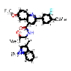 COC(=O)[C@@H](Cc1cn(C(C)C)c2ccccc12)NC(=O)c1cc(-c2ccc(OC)c(F)c2)nc2ccc(OC(F)(F)F)cc12